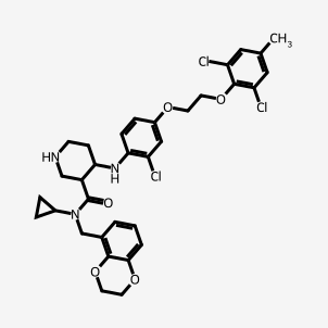 Cc1cc(Cl)c(OCCOc2ccc(NC3CCNCC3C(=O)N(Cc3cccc4c3OCCO4)C3CC3)c(Cl)c2)c(Cl)c1